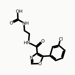 O=C(O)NCCNC(=O)c1ncoc1-c1cccc(Cl)c1